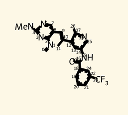 C=Nc1nc(NC)ncc1/C=C(\C)c1cc(NC(=O)c2cccc(C(F)(F)F)c2)cnc1C